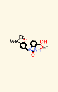 CCOc1cc(Cn2c(=O)[nH]c3c(C(O)OCC)cccc32)ccc1OC